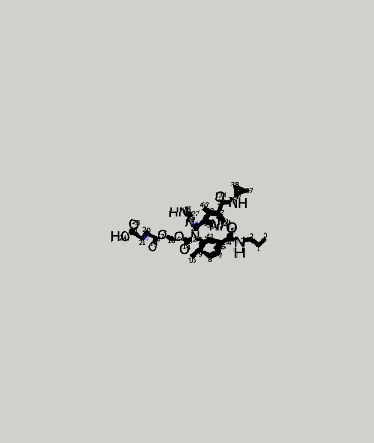 CCCNC(=O)c1ccc(C)c(N(C(=O)OCOC(=O)/C=C/C(=O)O)/C(=N/C=N)c2[nH]cc(C(=O)NC3CC3)c2C)c1